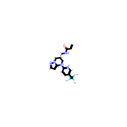 C=CC(=O)NC[C@@H]1CN(c2ccc(C(F)(F)F)cn2)c2ccnn2C1